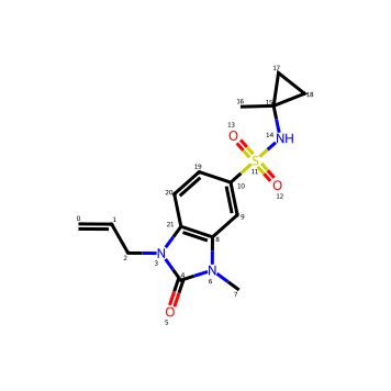 C=CCn1c(=O)n(C)c2cc(S(=O)(=O)NC3(C)CC3)ccc21